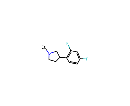 CCN1CCC(c2ccc(F)cc2F)C1